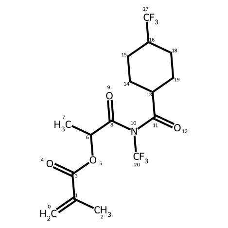 C=C(C)C(=O)OC(C)C(=O)N(C(=O)C1CCC(C(F)(F)F)CC1)C(F)(F)F